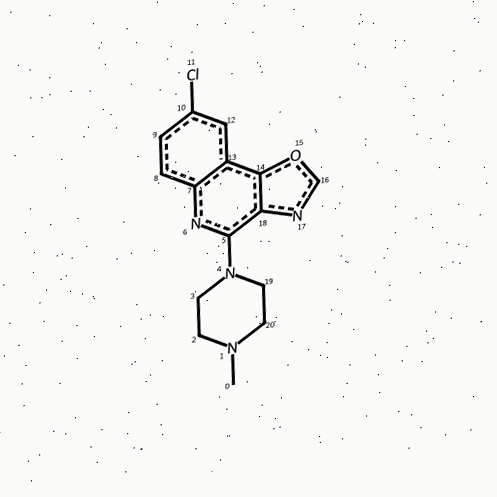 CN1CCN(c2nc3ccc(Cl)cc3c3ocnc23)CC1